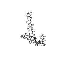 CC/C=C\C/C=C\C/C=C\C/C=C\C/C=C\C/C=C\CCC(=O)NC(CNC(=O)C1=CC(=O)C(C)(c2ccccc2)O1)C(=O)OCC(CO)CO